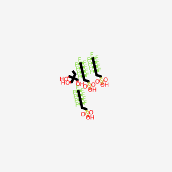 CCC(CO)(CO)CO.O=S(=O)(O)CCC(F)(F)C(F)(F)C(F)(F)C(F)(F)F.O=S(=O)(O)CCC(F)(F)C(F)(F)C(F)(F)C(F)(F)F.O=S(=O)(O)CCC(F)(F)C(F)(F)C(F)(F)C(F)(F)F